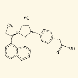 CCN(c1cccc2ccccc12)[C@H]1CCN(c2ccc(CC(=O)O)cc2)C1.Cl